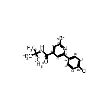 CC(C)(NC(=O)c1cc(Br)nc(-c2ccc(Cl)cc2)c1)C(F)(F)F